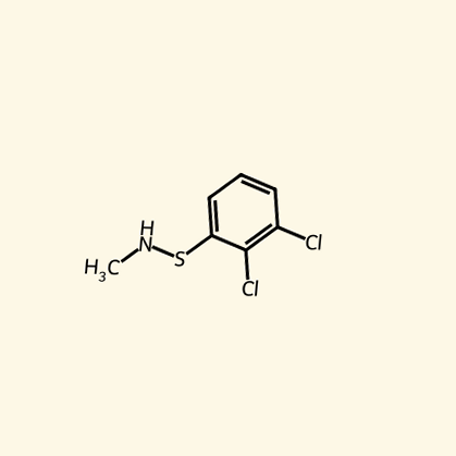 CNSc1cccc(Cl)c1Cl